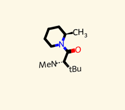 CN[C@H](C(=O)N1CCCC[C@H]1C)C(C)(C)C